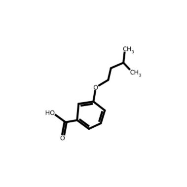 CC(C)CCOc1cccc(C(=O)O)c1